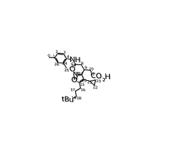 Cc1ccc(NC(=O)CC(CC(=O)O)c2noc(CCCC(C)(C)C)c2C2CC2)c(C)c1